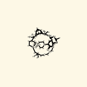 Cc1nc2c3cc(N4CCS(=O)(=O)CC4)c(=O)n(c3n1)CCCCCC(C)(F)CN1CCC(CC1)C(F)(F)c1cccc(c1F)[C@@H](C)N2